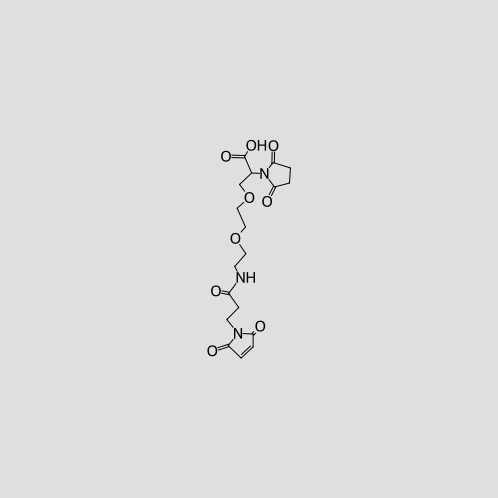 O=C(CCN1C(=O)C=CC1=O)NCCOCCOCC(C(=O)O)N1C(=O)CCC1=O